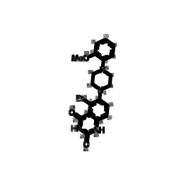 CCc1c(N2CCN(c3ccccc3OC)CC2)ccc2[nH]c(=O)[nH]c(=O)c12